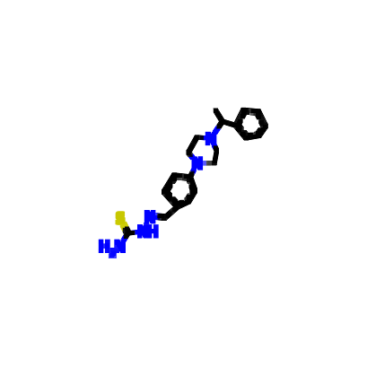 CC(c1ccccc1)N1CCN(c2ccc(C=NNC(N)=S)cc2)CC1